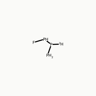 [2H]P(P)PF